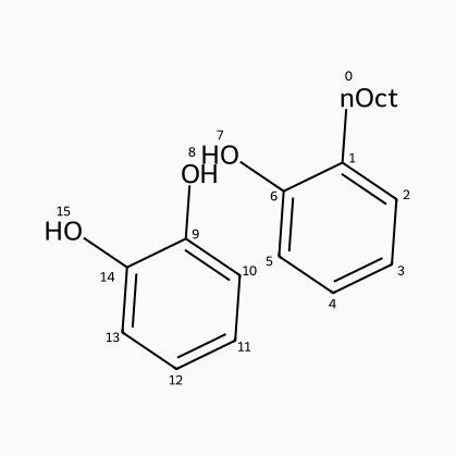 CCCCCCCCc1ccccc1O.Oc1ccccc1O